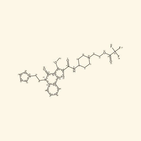 COc1c(C(=O)NC2CCN(CCOC(=O)C(F)(F)F)CC2)sc2c1c(=O)n(CCn1cccc1)c1ccccc21